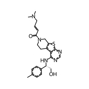 Cc1ccc([C@@H](CO)Nc2ncnc3sc4c(c23)CCN(C(=O)/C=C/CN(C)C)C4)cc1